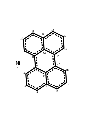 [Ni].c1cc2cccc3c4cccc5cccc(c(c1)c23)c54